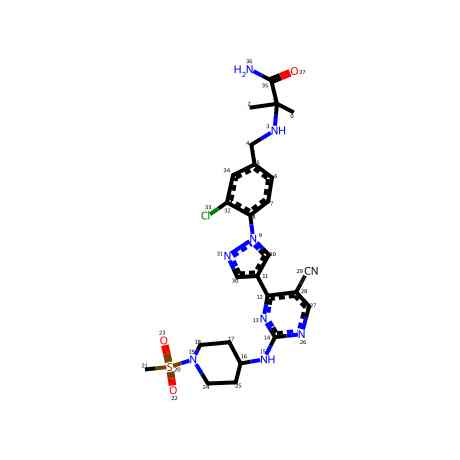 CC(C)(NCc1ccc(-n2cc(-c3nc(NC4CCN(S(C)(=O)=O)CC4)ncc3C#N)cn2)c(Cl)c1)C(N)=O